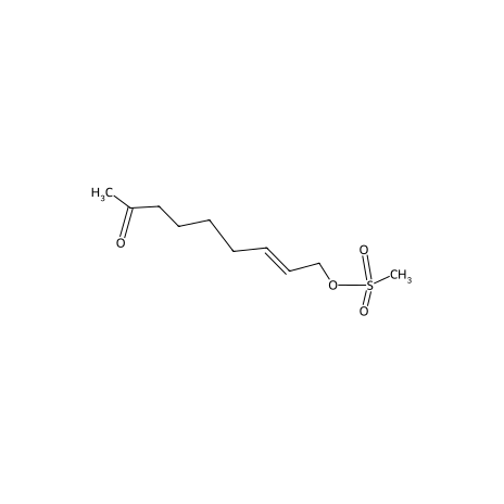 CC(=O)CCCC/C=C/COS(C)(=O)=O